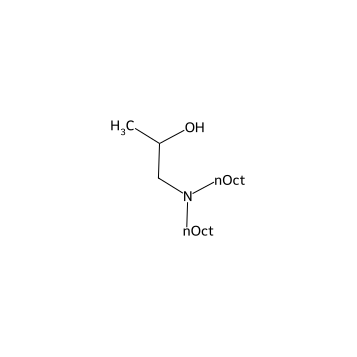 CCCCCCCCN(CCCCCCCC)CC(C)O